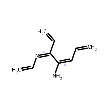 C=C/C=C(N)\C(C=C)=N/C=C